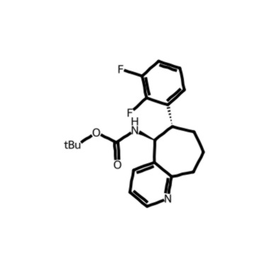 CC(C)(C)OC(=O)N[C@@H]1c2cccnc2CCC[C@H]1c1cccc(F)c1F